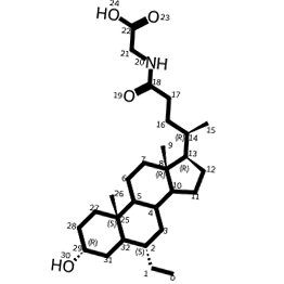 CC[C@H]1CC2C(CC[C@@]3(C)C2CC[C@@H]3[C@H](C)CCC(=O)NCC(=O)O)[C@@]2(C)CC[C@@H](O)CC12